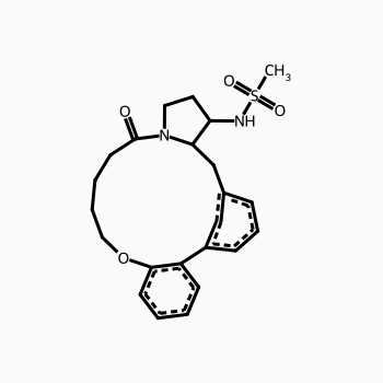 CS(=O)(=O)NC1CCN2C(=O)CCCCOc3ccccc3-c3cccc(c3)CC12